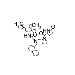 COC(=O)C(CCSC)NC(=O)CN(Cc1cccc2ccccc12)C[C@@H]1CCCN1C(=O)[C@@H]1CCC(=O)N1